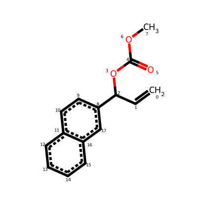 C=CC(OC(=O)OC)c1ccc2ccccc2c1